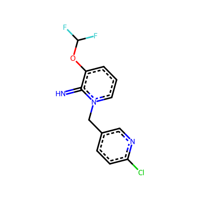 N=c1c(OC(F)F)cccn1Cc1ccc(Cl)nc1